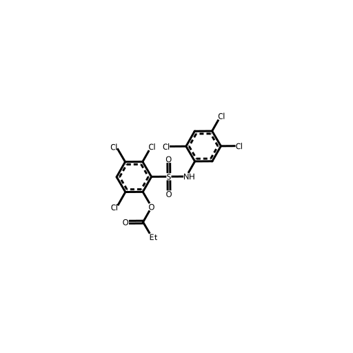 CCC(=O)Oc1c(Cl)cc(Cl)c(Cl)c1S(=O)(=O)Nc1cc(Cl)c(Cl)cc1Cl